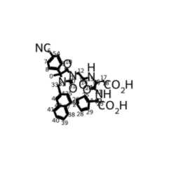 CC1(c2ccc(C#N)cc2)C(=O)N(CC(=O)N[C@@H](CC(=O)O)C(=O)N[C@H](C(=O)O)c2ccccc2)C(=O)N1Cc1ccc2ccccc2c1